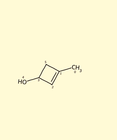 CC1=CC(O)C1